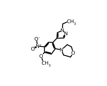 CCn1cc(-c2cc([N+](=O)[O-])c(OC)cc2N2CCOCC2)cn1